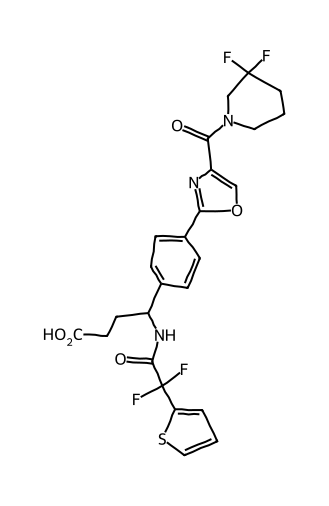 O=C(O)CCC(NC(=O)C(F)(F)c1cccs1)c1ccc(-c2nc(C(=O)N3CCCC(F)(F)C3)co2)cc1